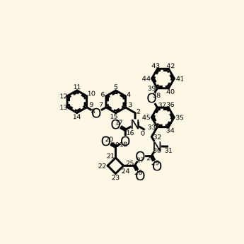 CN(Cc1cccc(Oc2ccccc2)c1)C(=O)OC(=O)C1CCC1C(=O)OC(=O)N(C)Cc1cccc(Oc2ccccc2)c1